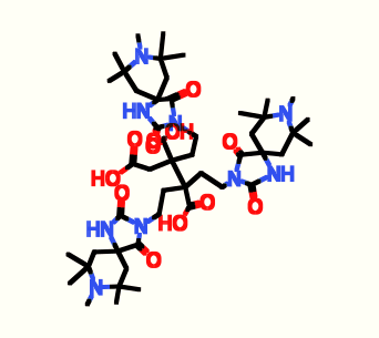 CN1C(C)(C)CC2(CC1(C)C)NC(=O)N(CCC(CCN1C(=O)NC3(CC(C)(C)N(C)C(C)(C)C3)C1=O)(C(=O)O)C(CCN1C(=O)NC3(CC(C)(C)N(C)C(C)(C)C3)C1=O)(CC(=O)O)C(=O)O)C2=O